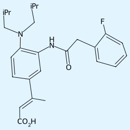 C/C(=C\C(=O)O)c1ccc(N(CC(C)C)CC(C)C)c(NC(=O)Cc2ccccc2F)c1